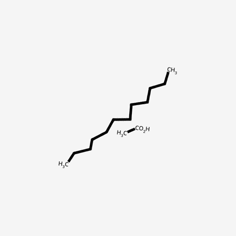 CC(=O)O.CCCCCCCCCCCC